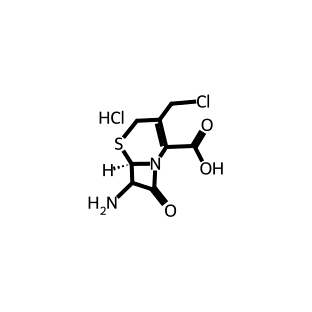 Cl.NC1C(=O)N2C(C(=O)O)=C(CCl)CS[C@H]12